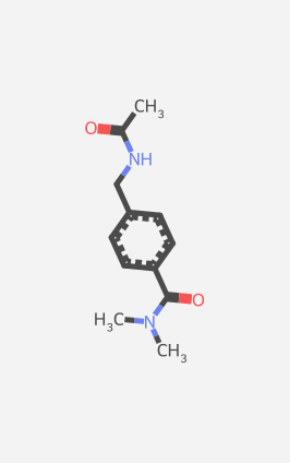 CC(=O)NCc1ccc(C(=O)N(C)C)cc1